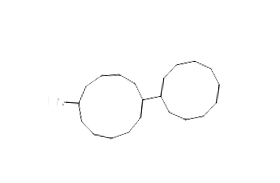 NC1CCCCCC(C2CCCCCCCCC2)CCCC1